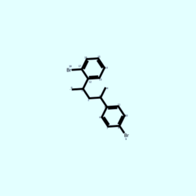 [CH2]C(CC(C)c1ccc(Br)cc1)c1ccccc1Br